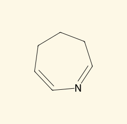 C1=CN=CCCC1